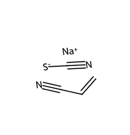 C=CC#N.N#C[S-].[Na+]